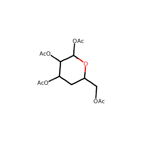 CC(=O)OCC1CC(OC(C)=O)C(OC(C)=O)C(OC(C)=O)O1